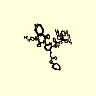 Cn1c(=O)n(-c2ccc(CCC(=O)OC3CCCCC3)c(NC(=O)OC(C)(C)C)n2)c(=O)c2ccncc21